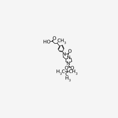 CC(CC(=O)O)c1ccc(N2CC3CN(C(=O)OC(C)(C)C)CCN3C2=O)cc1